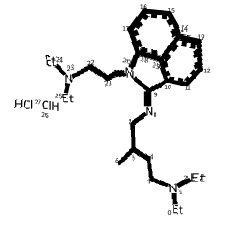 CCN(CC)CCC(C)CN=C1c2cccc3cccc(c23)N1CCN(CC)CC.Cl.Cl